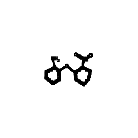 Nc1ccccc1Oc1ccccc1[SH](=O)=O